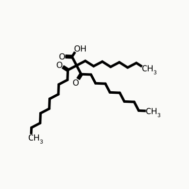 CCCCCCCCCC(=O)C(CCCCCCCC)(C(=O)O)C(=O)CCCCCCCCC